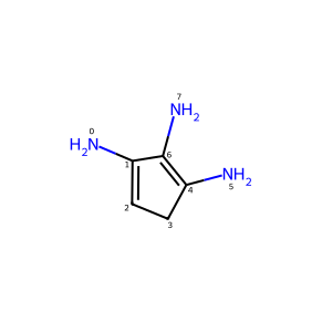 NC1=CCC(N)=C1N